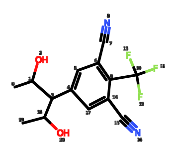 CC(O)C(c1cc(C#N)c(C(F)(F)F)c(C#N)c1)C(C)O